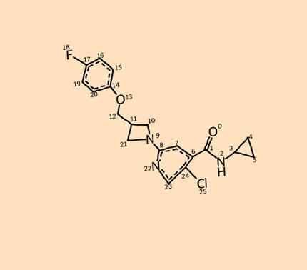 O=C(NC1CC1)c1cc(N2CC(COc3ccc(F)cc3)C2)ncc1Cl